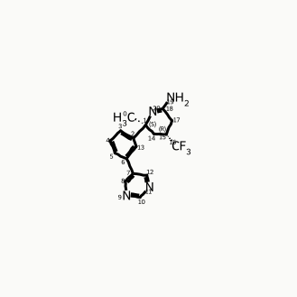 C[C@@]1(c2cccc(-c3cncnc3)c2)C[C@@H](C(F)(F)F)CC(N)=N1